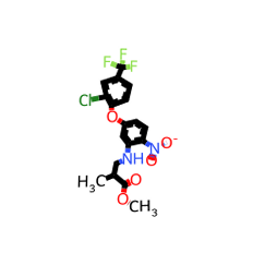 COC(=O)C(C)CNc1cc(Oc2ccc(C(F)(F)F)cc2Cl)ccc1[N+](=O)[O-]